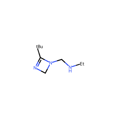 CCNCN1CN=C1C(C)(C)C